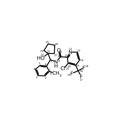 Cc1ccccc1C(NC(=O)c1nccc(C(F)(F)F)c1Cl)C1(O)CCCC1